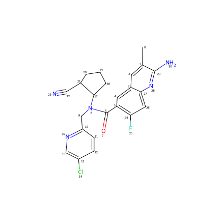 Cc1cc2cc(C(=O)N(Cc3ccc(Cl)cn3)C3CCCC3C#N)c(F)cc2nc1N